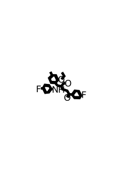 CCOC(=O)C(CCC(=O)c1ccc(F)cc1)C(Nc1ccc(F)cc1)c1ccc(C)cc1